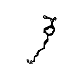 CCCCCC/C=C/c1ccc([N+](=O)[O-])cc1